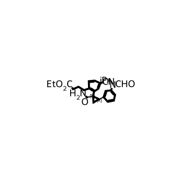 CCOC(=O)CCCc1ccc(C#N)cc1[C@@]1(C(N)=O)C[C@@H]1c1cccc(N(C=O)C(C)C)c1